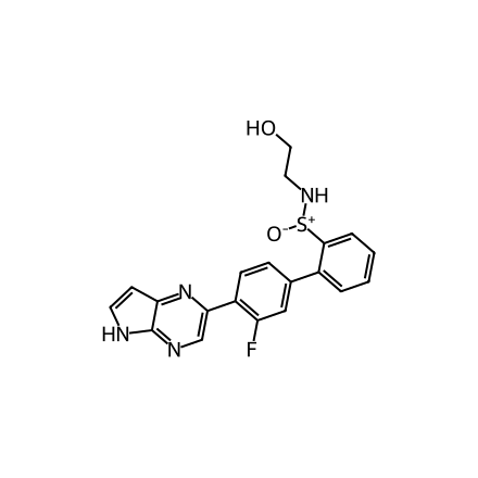 [O-][S+](NCCO)c1ccccc1-c1ccc(-c2cnc3[nH]ccc3n2)c(F)c1